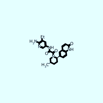 CCc1cc(NC(=O)C(=O)N2C[C@@H](C)CC[C@@H]2c2ccc3[nH]c(=O)ccc3c2)cnc1N